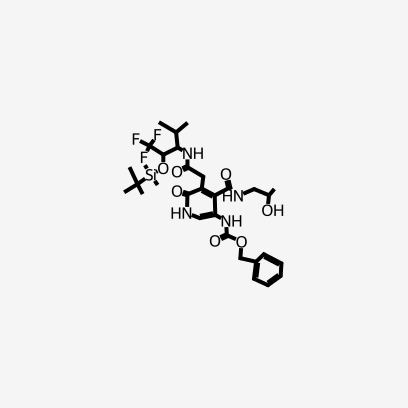 CC(O)CNC(=O)c1c(NC(=O)OCc2ccccc2)c[nH]c(=O)c1CC(=O)NC(C(C)C)C(O[Si](C)(C)C(C)(C)C)C(F)(F)F